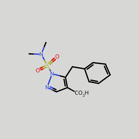 CN(C)S(=O)(=O)n1ncc(C(=O)O)c1Cc1ccccc1